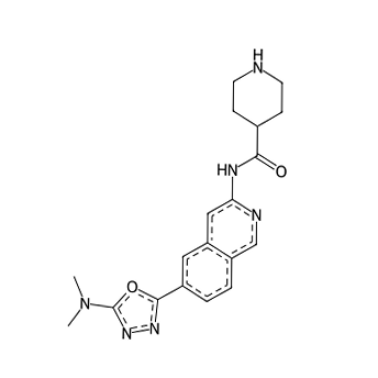 CN(C)c1nnc(-c2ccc3cnc(NC(=O)C4CCNCC4)cc3c2)o1